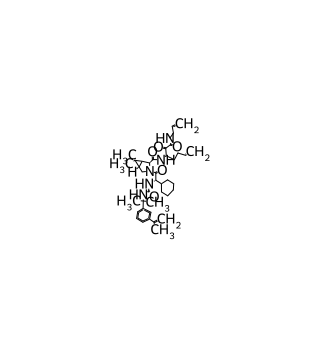 C=CCCC(NC(=O)[C@@H]1C2[C@H](CN1C(=O)[C@@H](NC(=O)NC(C)(C)c1cccc(C(=C)C)c1)C1CCCCC1)C2(C)C)C(=O)C(=O)NCC=C